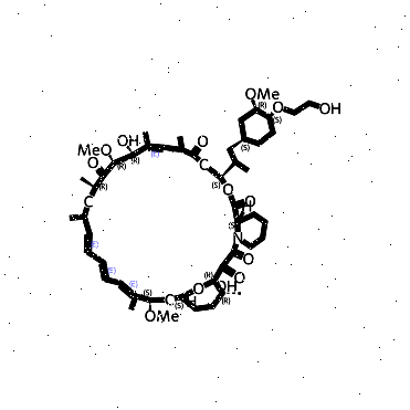 CO[C@H]1C[C@@H]2CC[C@@H](C)[C@@](O)(O2)C(=O)C(=O)N2CCCC[C@H]2C(=O)O[C@H](C(C)C[C@@H]2CC[C@H](OCCO)[C@H](OC)C2)CC(=O)C(C)/C=C(\C)[C@@H](O)[C@@H](OC)C(=O)[C@H](C)CC(C)/C=C/C=C/C=C/1C